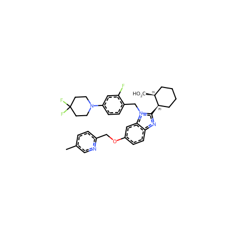 Cc1ccc(COc2ccc3nc([C@@H]4CCCC[C@@H]4C(=O)O)n(Cc4ccc(N5CCC(F)(F)CC5)cc4F)c3c2)nc1